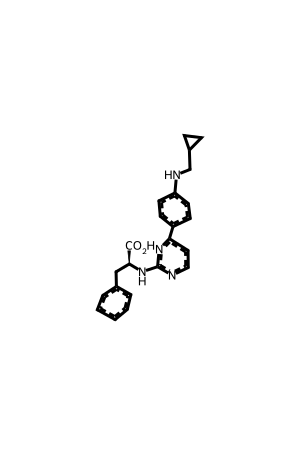 O=C(O)[C@H](Cc1ccccc1)Nc1nccc(-c2ccc(NCC3CC3)cc2)n1